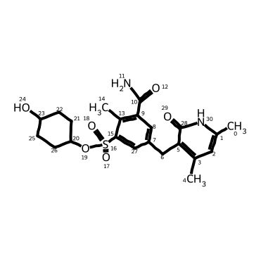 Cc1cc(C)c(Cc2cc(C(N)=O)c(C)c(S(=O)(=O)OC3CCC(O)CC3)c2)c(=O)[nH]1